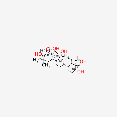 CC1(C)CC2C3=CCC4C5CC[C@H](O)[C@](C)(CO)C5CCC4[C@]3(C)[C@@H](O)[C@@H](O)[C@@]2(C(=O)O)[C@@H](O)[C@@H]1O